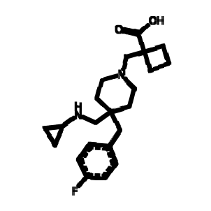 O=C(O)C1(CN2CCC(CNC3CC3)(Cc3ccc(F)cc3)CC2)CCC1